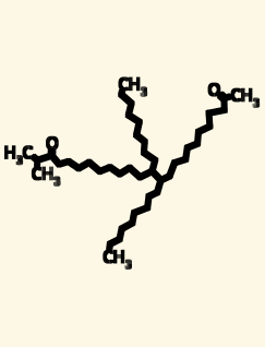 CCCCCCCCCC(CCCCCCCCCC(C)=O)C(CCCCCCCCC)CCCCCCCCCC(=O)C(C)C